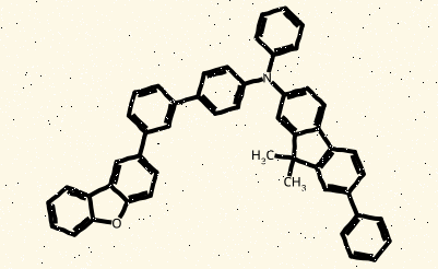 CC1(C)c2cc(-c3ccccc3)ccc2-c2ccc(N(c3ccccc3)c3ccc(-c4cccc(-c5ccc6oc7ccccc7c6c5)c4)cc3)cc21